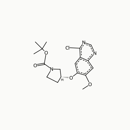 COc1cc2ncnc(Cl)c2cc1O[C@@H]1CCN(C(=O)OC(C)(C)C)C1